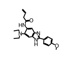 C=CCC(=O)Nc1cc2nc(-c3ccc(OC)cc3)[nH]c2cc1N(CC)CC